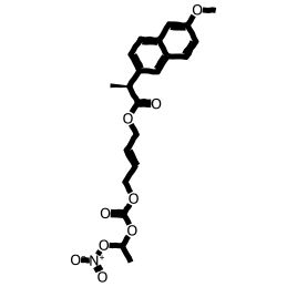 COc1ccc2cc([C@H](C)C(=O)OCC=CCOC(=O)OC(C)O[N+](=O)[O-])ccc2c1